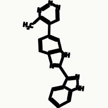 Cc1nnncc1-c1ccc2nc(-c3n[nH]c4ccccc34)[nH]c2c1